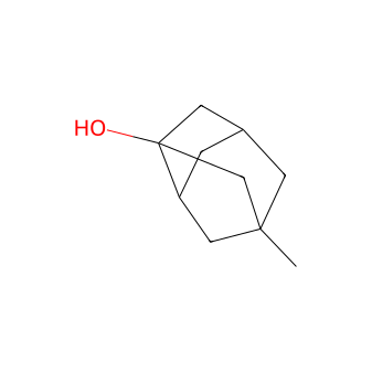 CC12CC3CC(C1)C(O)(C3)C2